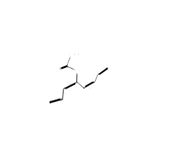 C=C/C=C\C(=C/C=C)OC(=O)O